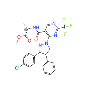 COC(=O)[C@H](C)NC(=O)c1cnc(C(F)(F)F)nc1N1CC(c2ccccc2)C(c2ccc(Cl)cc2)=N1